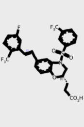 O=C(O)CC[C@H]1CN(S(=O)(=O)c2cccc(C(F)(F)F)c2)c2cc(/C=C/c3cc(F)ccc3C(F)(F)F)ccc2O1